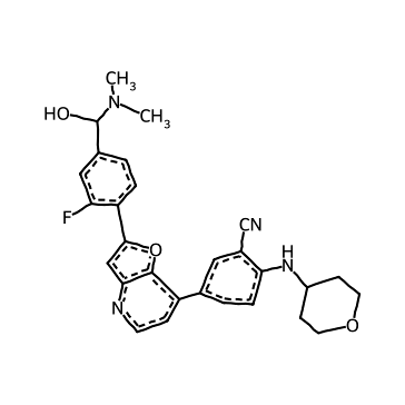 CN(C)C(O)c1ccc(-c2cc3nccc(-c4ccc(NC5CCOCC5)c(C#N)c4)c3o2)c(F)c1